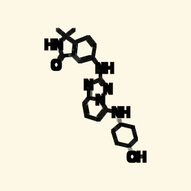 CC1(C)NC(=O)c2cc(Nc3nc4cccc(N[C@H]5CC[C@@H](O)CC5)n4n3)ccc21